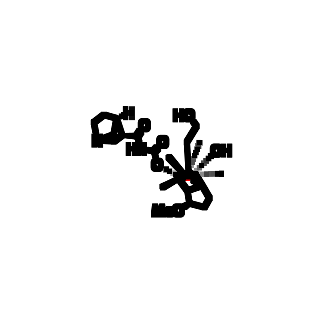 CO[C@@H]1CCC23CC[C@@H](C)[C@](C)(C12)[C@H](OC(=O)NC(=O)[C@H]1CN2CC[C@@H]1C2)C[C@@](C)(CCO)[C@@H](O)[C@@H]3C